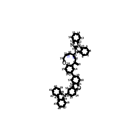 C=C1/C=C(n2c3ccccc3n3c4ccccc4nc23)\C=C/COc2ccc(-c3ccc4oc5ccc(-n6c7ccccc7c7ccccc76)cc5c4c3)cc21